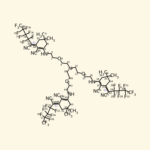 CC1(C)CC(NCCOCCN(CCOCCNC2=C(C#N)/C(=C(\C#N)C(F)(F)C(F)(F)C(F)(F)C(F)(F)F)CC(C)(C)C2)CCOCCNC2=C(C#N)/C(=C(\C#N)C(F)(F)C(F)(F)C(F)(F)C(F)(F)F)CC(C)(C)C2)=C(C#N)/C(=C(\C#N)C(F)(F)C(F)(F)C(F)(F)C(F)(F)F)C1